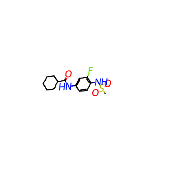 CS(=O)(=O)Nc1ccc(NC(=O)C2CCCCC2)cc1F